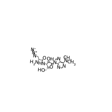 CN(C)c1ncnc2c1ncn2[C@@H]1O[C@H](CO)C(NC(=O)C(N)CN=[N+]=[N-])[C@@H]1O